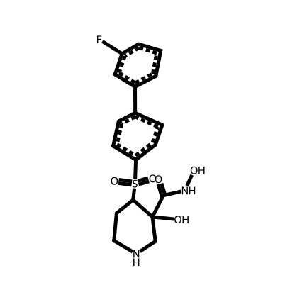 O=C(NO)C1(O)CNCCC1S(=O)(=O)c1ccc(-c2cccc(F)c2)cc1